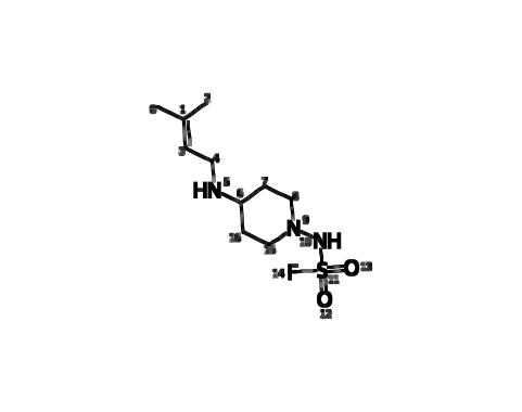 CC(C)=CCNC1CCN(NS(=O)(=O)F)CC1